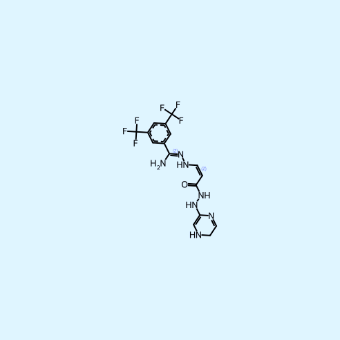 N/C(=N\N/C=C\C(=O)NNC1=CNCC=N1)c1cc(C(F)(F)F)cc(C(F)(F)F)c1